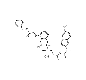 COc1ccc2cc([C@H](C)C(=O)O[C@@H](C)CC[C@@H]3[C@H]4Cc5cccc(OCC(=O)OCc6ccccc6)c5C[C@H]4C[C@H]3O)ccc2c1